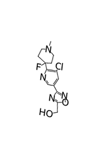 CN1CCC(F)(c2ncc(-c3noc(CO)n3)cc2Cl)CC1